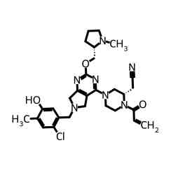 C=CC(=O)N1CCN(c2nc(OC[C@@H]3CCCN3C)nc3c2CN(Cc2cc(O)c(C)cc2Cl)C3)C[C@@H]1CC#N